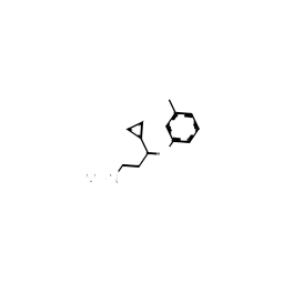 CNCCC(Oc1cccc(C)c1)C1CC1